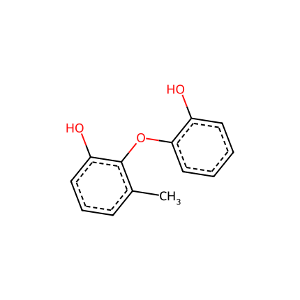 Cc1cccc(O)c1Oc1ccccc1O